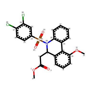 COC(=O)CC1c2cccc(OC)c2-c2ccccc2N1S(=O)(=O)c1ccc(Cl)c(Cl)c1